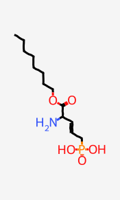 CCCCCCCCOC(=O)C(N)C=CCP(=O)(O)O